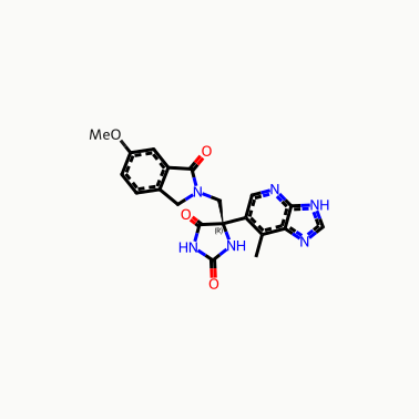 COc1ccc2c(c1)C(=O)N(C[C@@]1(c3cnc4[nH]cnc4c3C)NC(=O)NC1=O)C2